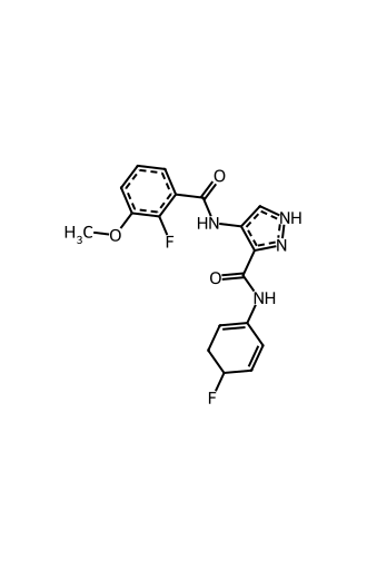 COc1cccc(C(=O)Nc2c[nH]nc2C(=O)NC2=CCC(F)C=C2)c1F